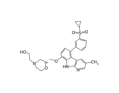 Cc1cnc2[nH]c3c(OC[C@H]4CN(CCO)CCO4)ccc(-c4cccc(S(=O)(=O)C5CC5)c4)c3c2c1